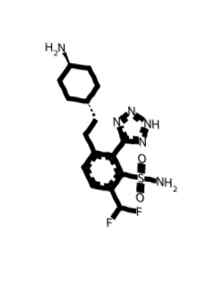 NS(=O)(=O)c1c(C(F)F)ccc(CC[C@H]2CC[C@H](N)CC2)c1-c1nn[nH]n1